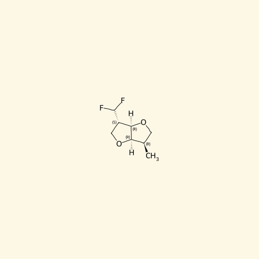 C[C@@H]1CO[C@H]2[C@@H]1OC[C@@H]2C(F)F